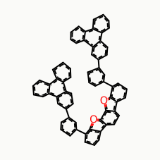 c1cc(-c2ccc3c4ccccc4c4ccccc4c3c2)cc(-c2cccc3c2oc2c3ccc3c4cccc(-c5cccc(-c6ccc7c8ccccc8c8ccccc8c7c6)c5)c4oc32)c1